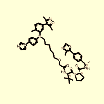 Cc1ccc(-c2c(C)noc2C)cc1N(CCCCCCOCC(=O)N[C@H](C(=O)N1CCC[C@H]1C(=O)N[C@@H](C)c1ccc(-c2scnc2C)cc1)C(C)(C)C)c1ccc(-n2ccnc2)cc1